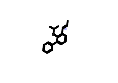 C/C=C/c1cccc(-c2ccccc2)c1OC(C)C